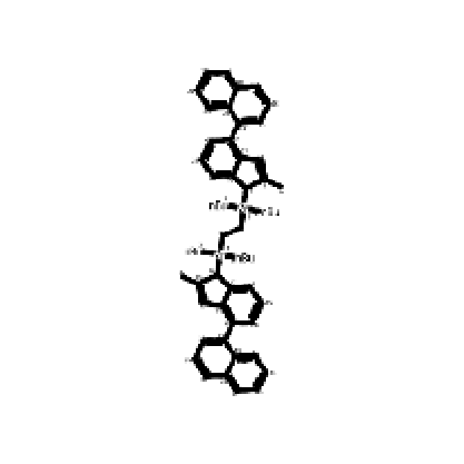 CCC[CH2][Zr]([CH2]CCC)([CH2][CH2][Zr]([CH2]CCC)([CH2]CCC)[CH]1C(C)=Cc2c(-c3cccc4ccccc34)cccc21)[CH]1C(C)=Cc2c(-c3cccc4ccccc34)cccc21